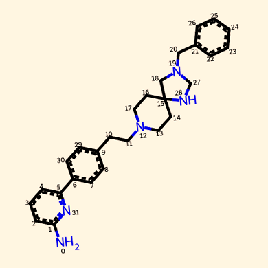 Nc1cccc(-c2ccc(CCN3CCC4(CC3)CN(Cc3ccccc3)CN4)cc2)n1